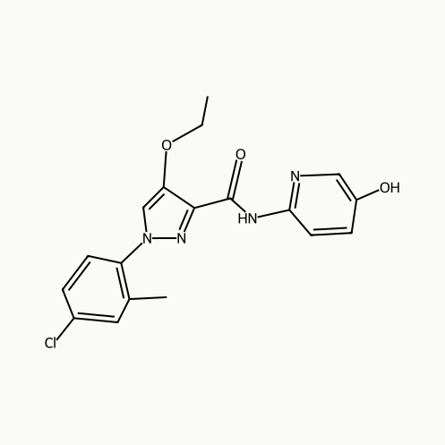 CCOc1cn(-c2ccc(Cl)cc2C)nc1C(=O)Nc1ccc(O)cn1